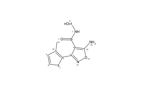 CCCCCCCCNC(=O)c1c(-c2sccc2C)noc1N